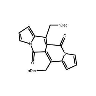 CCCCCCCCCCCc1c2c(=O)n3cccc3c(CCCCCCCCCCC)c2c(=O)n2cccc12